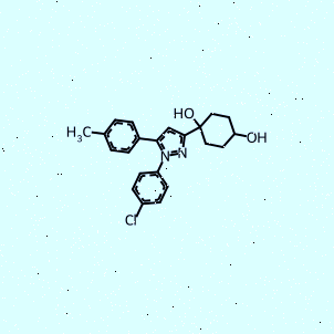 Cc1ccc(-c2cc(C3(O)CCC(O)CC3)nn2-c2ccc(Cl)cc2)cc1